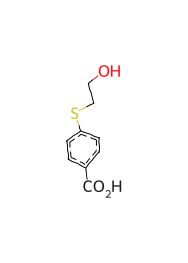 O=C(O)c1ccc(SCCO)cc1